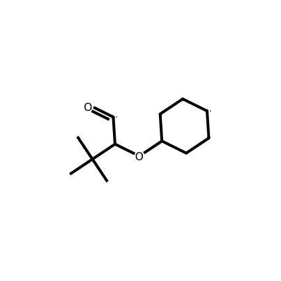 CC(C)(C)C([C]=O)OC1CC[CH]CC1